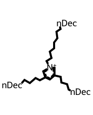 CCCCCCCCCCCCCCCCCC[n+]1cc(CCCCCCCCCCCCCC)cc(CCCCCCCCCCCCCC)c1